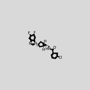 O=C(NC[C@@H]1[C@H]2C[C@H](n3cnc4cc(F)c(F)cc43)C[C@@H]12)c1cccc(Cl)c1